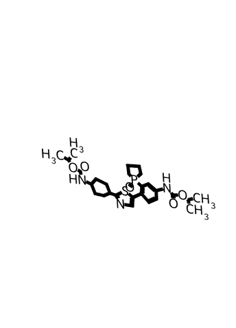 CC(C)OC(=O)Nc1ccc(-c2cnc(C3CCC(NC(=O)OC(C)C)CC3)s2)c(P2(=O)CCCC2)c1